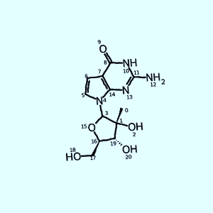 C[C@]1(O)C(n2ccc3c(=O)[nH]c(N)nc32)O[C@H](CO)[C@H]1O